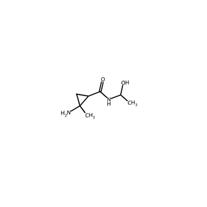 CC(O)NC(=O)C1CC1(C)N